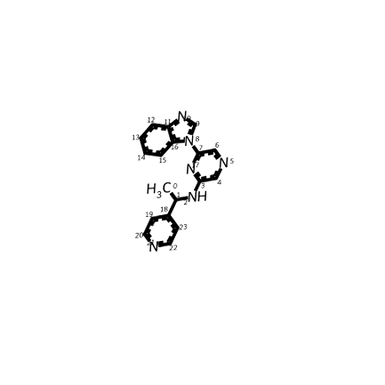 CC(Nc1cncc(-n2cnc3ccccc32)n1)c1ccncc1